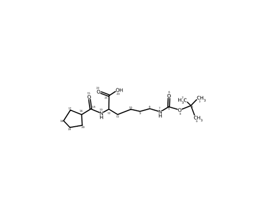 CC(C)(C)OC(=O)NCCCCC(NC(=O)C1CCCC1)C(=O)O